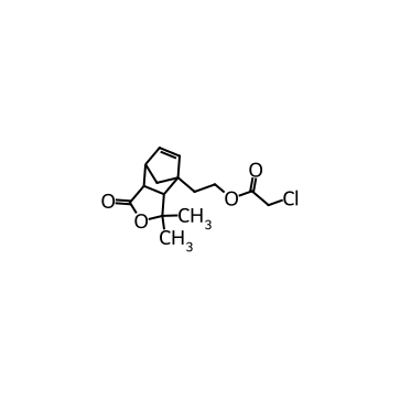 CC1(C)OC(=O)C2C3C=CC(CCOC(=O)CCl)(C3)C21